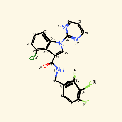 O=C(NCc1ccc(F)c(F)c1F)c1cn(-c2ncccn2)c2cccc(Cl)c12